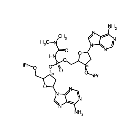 CC(C)OCC1OC(n2cnc3c(N)ncnc32)C[C@H]1OP(=O)(NC(=O)N(C)C)OCC1OC(n2cnc3c(N)ncnc32)C[C@H]1OC(C)C